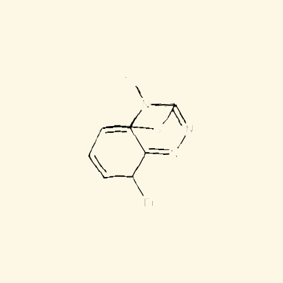 CCC1C=CC2=C3C1=NN=C(S2)N3CC